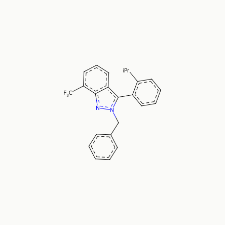 CC(C)c1ccccc1-c1c2cccc(C(F)(F)F)c2nn1Cc1ccccc1